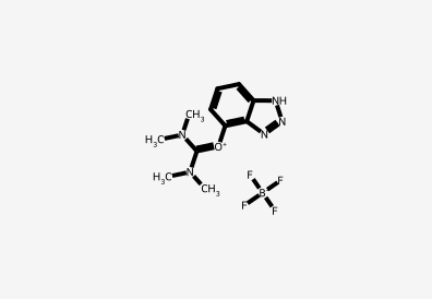 CN(C)C(=[O+]c1cccc2[nH]nnc12)N(C)C.F[B-](F)(F)F